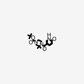 CC(C)(C)OC(=O)N1CCN(C(=O)c2ccc(=O)[nH]c2)C(C)(C)C1